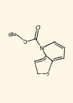 CC(C)(C)OC(=O)N1C=CC=C2SCC=C21